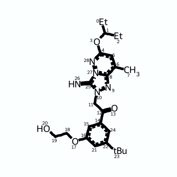 CCC(CC)Oc1cc(C)c2nn(CC(=O)c3cc(OCCO)cc(C(C)(C)C)c3)c(=N)n2n1